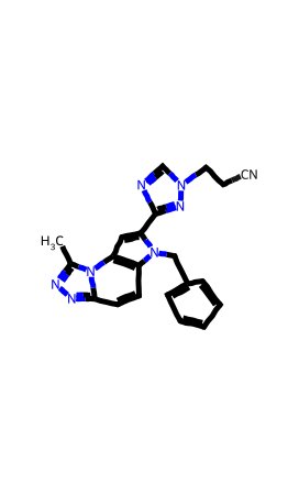 Cc1nnc2ccc3c(cc(-c4ncn(CCC#N)n4)n3Cc3ccccc3)n12